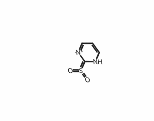 O=S(=O)=C1[N+]=CC=CN1